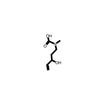 C=CC(O)CCN(C)C(=O)O